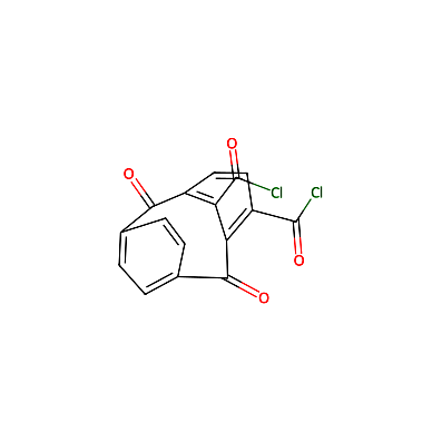 O=C(Cl)c1ccc2c(C(=O)Cl)c1C(=O)c1ccc(cc1)C2=O